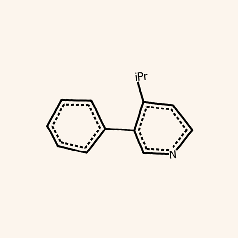 CC(C)c1ccncc1-c1ccccc1